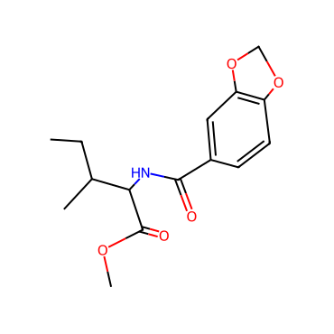 CCC(C)C(NC(=O)c1ccc2c(c1)OCO2)C(=O)OC